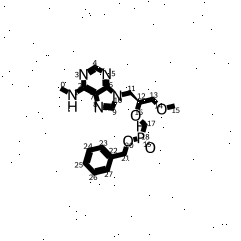 CNc1ncnc2c1ncn2C[C@@H](COC)OC[PH](=O)OCc1ccccc1